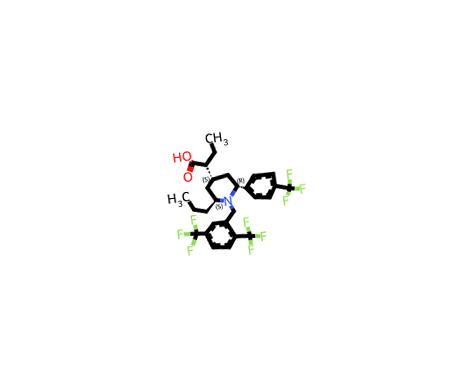 CCC[C@H]1C[C@H](C(CC)C(=O)O)C[C@H](c2ccc(C(F)(F)F)cc2)N1Cc1cc(C(F)(F)F)ccc1C(F)(F)F